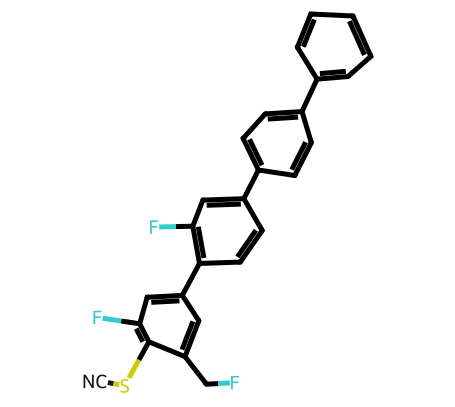 N#CSc1c(F)cc(-c2ccc(-c3ccc(-c4ccccc4)cc3)cc2F)cc1CF